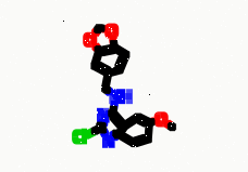 COc1ccc2nc(Cl)nc(NCc3ccc4c(c3)OCO4)c2c1